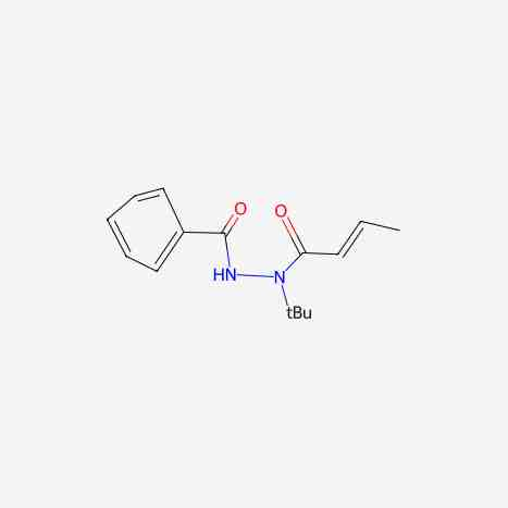 CC=CC(=O)N(NC(=O)c1ccccc1)C(C)(C)C